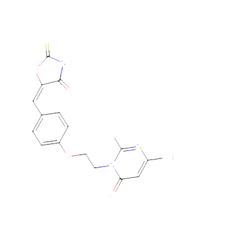 CCc1nc(C)cc(=O)n1CCOc1ccc(C=C2OC(=S)NC2=O)cc1